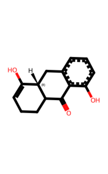 O=C1c2c(O)cccc2C[C@H]2C(O)=CCCC12